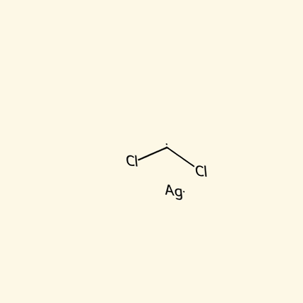 Cl[CH]Cl.[Ag]